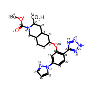 CC(C)(C)OC(=O)N1CC2CCC(Oc3cc(-n4cccn4)ccc3-c3nn[nH]n3)CC2CC1C(=O)O